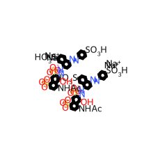 CC(=O)Nc1ccc(S(=O)(=O)[O-])c2cc(S(=O)(=O)[O-])c(/N=N/c3ccc(/N=N/c4ccc(S(=O)(=O)O)cc4)c4ccc(S(=O)(=O)O)cc34)c(O)c12.CC(=O)Nc1ccc(S(=O)(=O)[O-])c2cc(S(=O)(=O)[O-])c(/N=N/c3ccc(/N=N/c4ccc(S(=O)(=O)O)cc4)c4ccc(S(=O)(=O)O)cc34)c(O)c12.[Na+].[Na+].[Na+].[Na+]